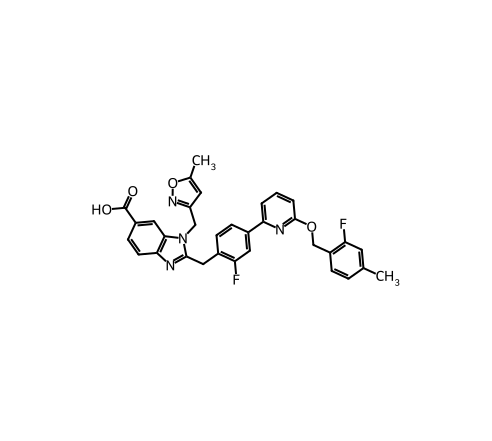 Cc1ccc(COc2cccc(-c3ccc(Cc4nc5ccc(C(=O)O)cc5n4Cc4cc(C)on4)c(F)c3)n2)c(F)c1